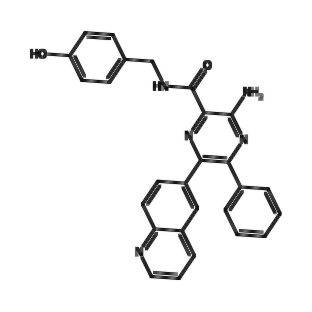 Nc1nc(-c2ccccc2)c(-c2ccc3ncccc3c2)nc1C(=O)NCc1ccc(O)cc1